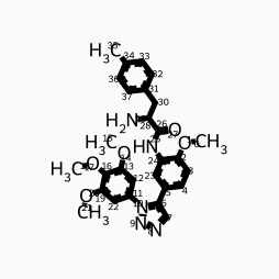 COc1ccc(-c2cnnn2-c2cc(OC)c(OC)c(OC)c2)cc1NC(=O)C(N)Cc1ccc(C)cc1